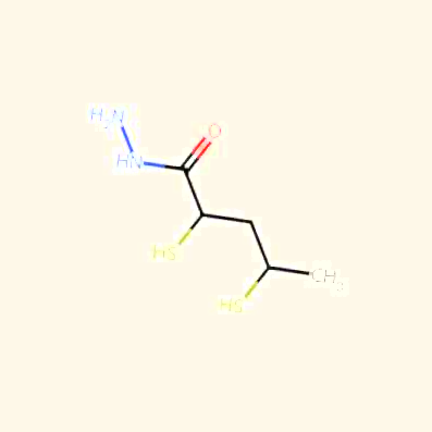 CC(S)CC(S)C(=O)NN